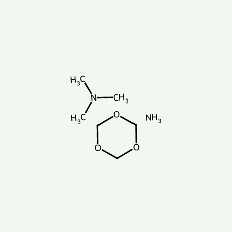 C1OCOCO1.CN(C)C.N